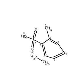 CP.Cc1ccccc1S(=O)(=O)O